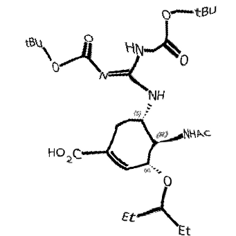 CCC(CC)O[C@@H]1C=C(C(=O)O)C[C@H](NC(=NC(=O)OC(C)(C)C)NC(=O)OC(C)(C)C)[C@H]1NC(C)=O